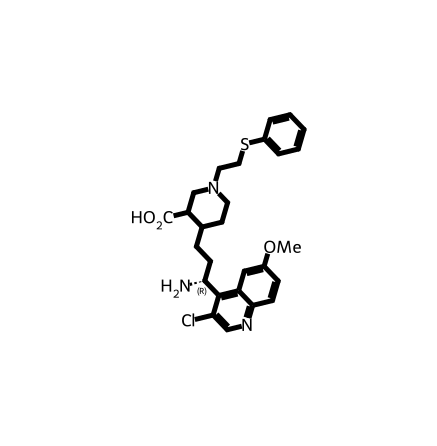 COc1ccc2ncc(Cl)c([C@H](N)CCC3CCN(CCSc4ccccc4)CC3C(=O)O)c2c1